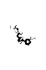 CCOC(=O)Cc1csc(-c2cccc(O)c2)n1